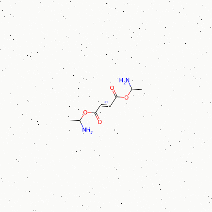 CC(N)OC(=O)/C=C/C(=O)OC(C)N